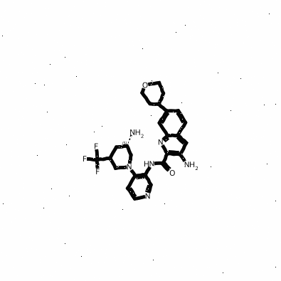 Nc1cc2ccc(C3CCOCC3)cc2nc1C(=O)Nc1cnccc1N1CC(C(F)(F)F)C[C@H](N)C1